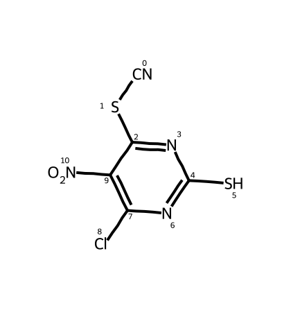 N#CSc1nc(S)nc(Cl)c1[N+](=O)[O-]